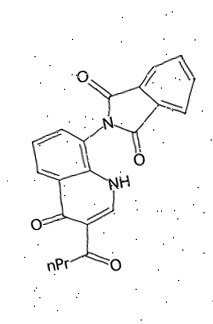 CCCC(=O)c1c[nH]c2c(N3C(=O)c4ccccc4C3=O)cccc2c1=O